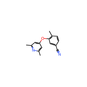 Cc1cc(Oc2cc(C#N)ccc2C)cc(C)n1